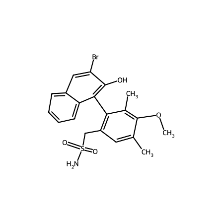 COc1c(C)cc(CS(N)(=O)=O)c(-c2c(O)c(Br)cc3ccccc23)c1C